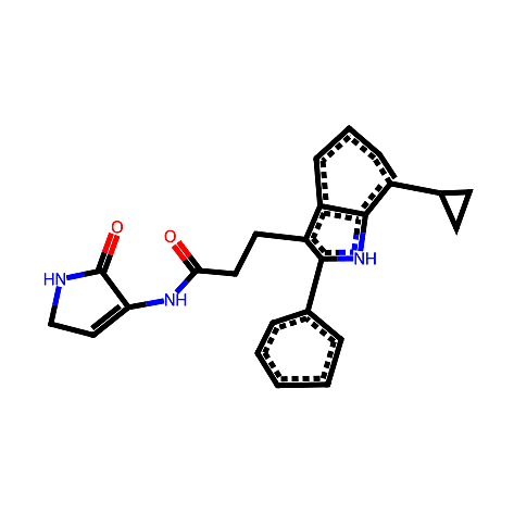 O=C(CCc1c(-c2ccccc2)[nH]c2c(C3CC3)cccc12)NC1=CCNC1=O